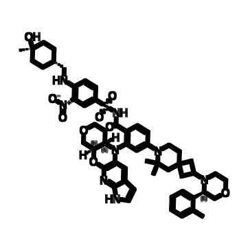 Cc1ccccc1[C@@H]1COCCN1C1CC2(CCN(c3ccc(C(=O)NS(=O)(=O)c4ccc(NC[C@H]5CC[C@](C)(O)CC5)c([N+](=O)[O-])c4)c(N4c5cc6cc[nH]c6nc5O[C@H]5COCC[C@@H]54)c3)C(C)(C)C2)C1